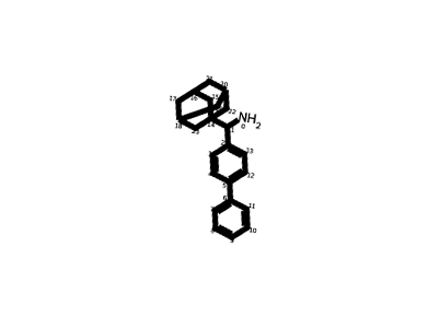 NC(c1ccc(-c2ccccc2)cc1)C12CC3CC(CC(C3)C1)C2